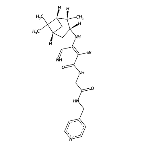 C[C@@H]1[C@H](N/C(C=N)=C(\Br)C(=O)NCC(=O)NCc2ccncc2)C[C@H]2C[C@@H]1C2(C)C